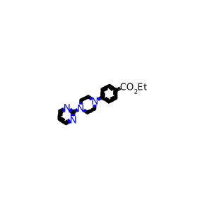 CCOC(=O)c1ccc(N2CCN(c3ncccn3)CC2)cc1